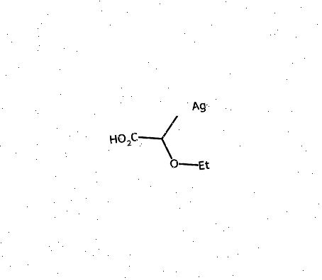 CCOC(C)C(=O)O.[Ag]